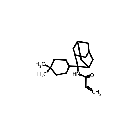 C=CC(=O)NC1(C2CCC(C)(C)CC2)C2CC3CC(C2)CC1C3